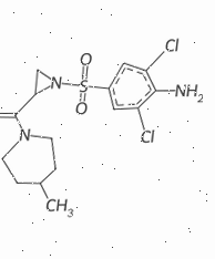 CC1CCN(C(=O)C2CN2S(=O)(=O)c2cc(Cl)c(N)c(Cl)c2)CC1